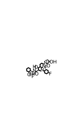 O=C(NC(c1ccccc1Cl)C(F)(F)F)c1cn(-c2ccc(F)cc2F)c2nc(N3CC[C@H](O)C3=O)ccc2c1=O